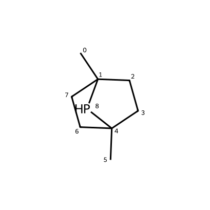 CC12CCC(C)(CC1)P2